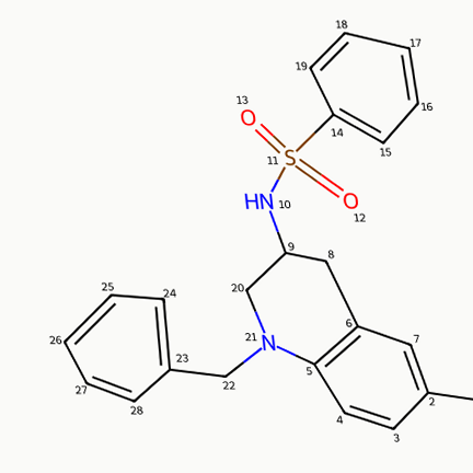 C=Cc1ccc2c(c1)CC(NS(=O)(=O)c1ccccc1)CN2Cc1ccccc1